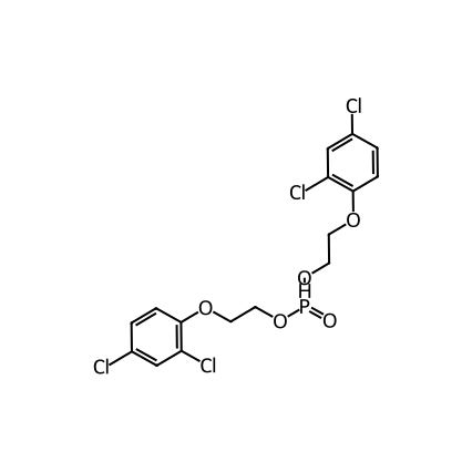 O=[PH](OCCOc1ccc(Cl)cc1Cl)OCCOc1ccc(Cl)cc1Cl